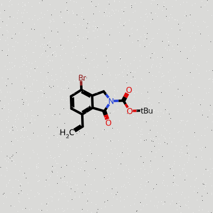 C=Cc1ccc(Br)c2c1C(=O)N(C(=O)OC(C)(C)C)C2